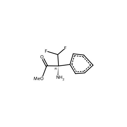 COC(=O)[C@](N)(c1ccccc1)C(F)F